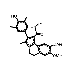 COc1cc2c(cc1OC)-c1c(C(=O)NC(C)C)c(-c3cc(C)c(O)c(C)c3)c(C)n1CC2